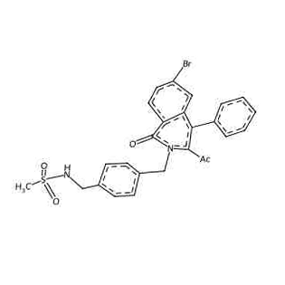 CC(=O)c1c(-c2ccccc2)c2cc(Br)ccc2c(=O)n1Cc1ccc(CNS(C)(=O)=O)cc1